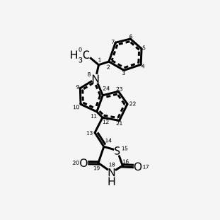 CC(c1ccccc1)n1ccc2c(C=C3SC(=O)NC3=O)cccc21